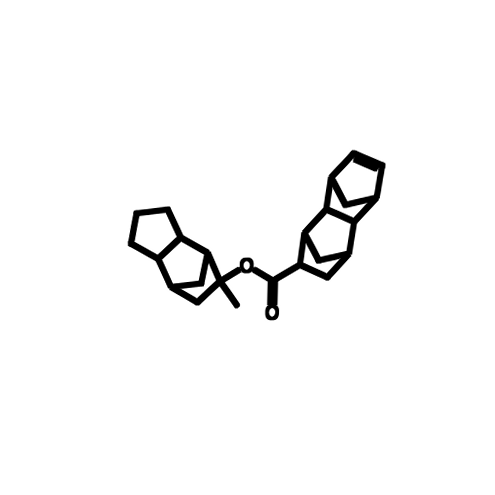 CC1(OC(=O)C2CC3CC2C2C4C=CC(C4)C32)CC2CC1C1CCCC21